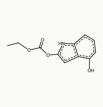 CCOC(=O)Oc1cc2c(O)cccc2[nH]1